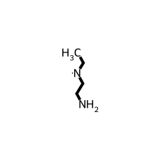 CC[N]CCN